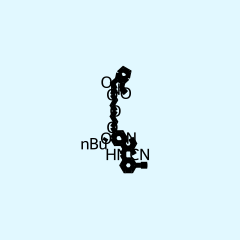 C#Cc1cccc(Nc2c(C#N)cnc3cc(OCCOCCON4C(=O)C5C6C=CC(C6)C5C4=O)c(OCCCC)cc23)c1